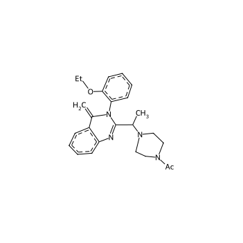 C=C1c2ccccc2N=C(C(C)N2CCN(C(C)=O)CC2)N1c1ccccc1OCC